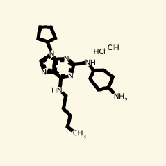 CCCCCNc1nc(NC2CCC(N)CC2)nc2c1ncn2C1CCCC1.Cl.Cl